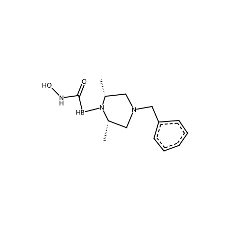 C[C@@H]1CN(Cc2ccccc2)C[C@H](C)N1BC(=O)NO